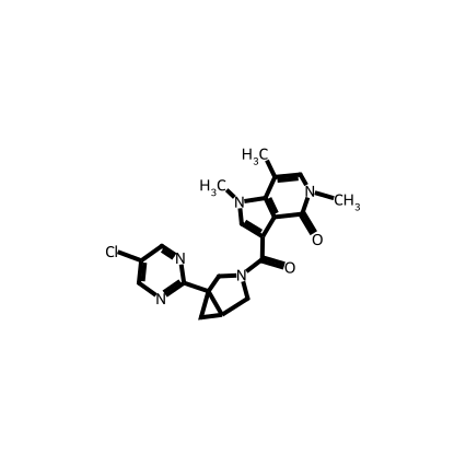 Cc1cn(C)c(=O)c2c(C(=O)N3CC4CC4(c4ncc(Cl)cn4)C3)cn(C)c12